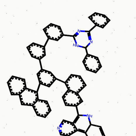 C1=CC2=c3ccncc3=C(c3ccc4c(-c5cc(-c6cccc(-c7cccc(C8=NC(c9ccccc9)=NC(c9ccccc9)N8)c7)c6)cc(-c6c7ccccc7cc7ccccc67)c5)cccc4c3)NC2C=C1